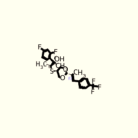 C/C(=C\c1ccc(C(F)(F)F)cc1)[C@H]1OC[C@H](S[C@H](C)[C@](C)(O)c2ccc(F)cc2F)CO1